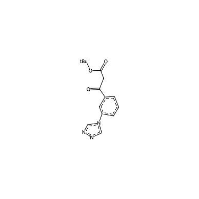 CC(C)(C)OC(=O)CC(=O)c1cccc(-n2cnnc2)c1